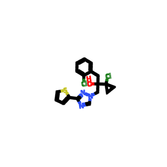 OC(Cc1ccccc1Cl)(Cn1cnc(-c2cccs2)n1)C1(Cl)CC1